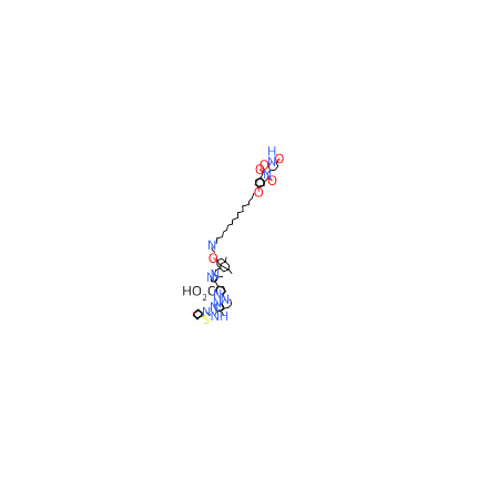 Cc1c(Nc2nc3ccccc3s2)nnc2c1CCCN2c1ccc(-c2cnn(CC34CC5(C)CC(C)(C3)CC(OCCN(C)CCCCCCCCCCCCCCCCOc3ccc6c(c3)C(=O)N(C3CCC(=O)NC3=O)C6=O)(C5)C4)c2C)c(C(=O)O)n1